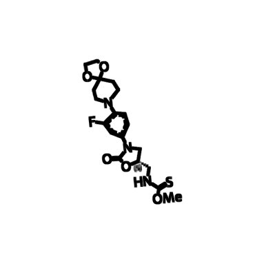 COC(=S)NC[C@H]1CN(c2ccc(N3CCC4(CC3)OCCO4)c(F)c2)C(=O)O1